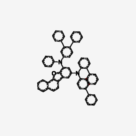 c1ccc(-c2ccc(N(c3cc(N(c4ccccc4)c4ccc(-c5ccccc5)c(-c5ccccc5)c4)c4oc5c6ccccc6ccc5c4c3)c3ccccc3-c3ccccc3)cc2)cc1